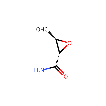 NC(=O)[C@H]1O[C@@H]1C=O